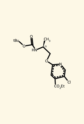 CCOC(=O)c1cc(OC[C@H](C)NC(=O)OC(C)(C)C)ncc1Cl